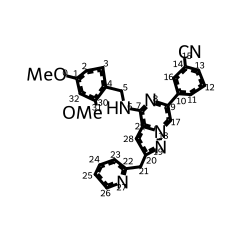 COc1ccc(CNc2nc(-c3cccc(C#N)c3)cn3nc(Cc4ccccn4)cc23)c(OC)c1